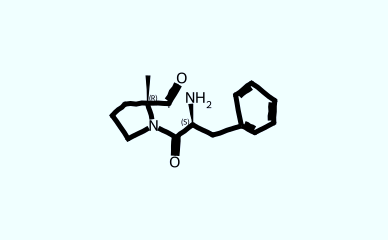 C[C@]1([C]=O)CCCN1C(=O)[C@@H](N)Cc1ccccc1